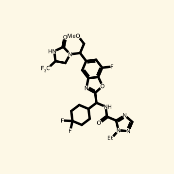 CCn1ncnc1C(=O)NC(c1nc2cc(C(COC)N3CC(C(F)(F)F)NC3=O)cc(F)c2o1)C1CCC(F)(F)CC1